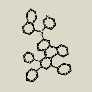 c1ccc(-c2cc(-c3ccccc3)c3c4ccccc4c4cc(N(c5cccnc5)c5cccc6ccccc56)ccc4c3c2-c2ccccc2)cc1